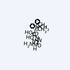 CC(C)(C)[Si](OC[C@H]1O[C@@H](n2cnc3c(=O)[nH]c(N)nc32)C(O)[C@@H]1O)(c1ccccc1)c1ccccc1